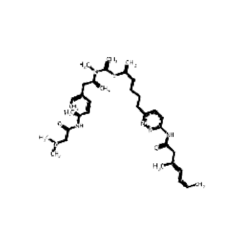 C=C(/C=C\C(=C/C)CC(=C)N(C)C(=C)SC(=C)CCCCc1ccc(NC(=O)C/C(C)=C/C=C\C)nn1)NC(=O)CN(C)C